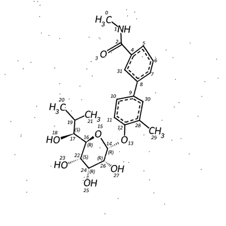 CNC(=O)c1cccc(-c2ccc(O[C@H]3O[C@H]([C@@H](O)C(C)C)[C@@H](O)[C@@H](O)[C@H]3O)c(C)c2)c1